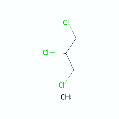 ClCC(Cl)CCl.[CH]